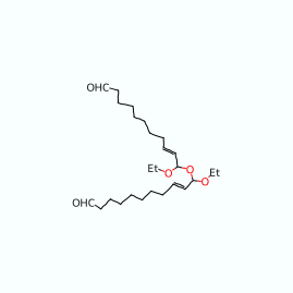 CCOC(C=CCCCCCCCC=O)OC(C=CCCCCCCCC=O)OCC